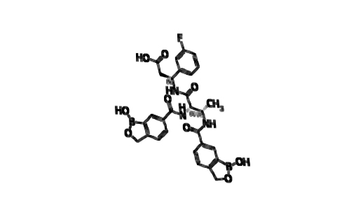 C[C@H](NC(=O)c1ccc2c(c1)B(O)OC2)[C@H](NC(=O)c1ccc2c(c1)B(O)OC2)C(=O)N[C@@H](CC(=O)O)c1cccc(F)c1